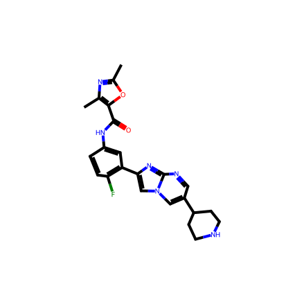 Cc1nc(C)c(C(=O)Nc2ccc(F)c(-c3cn4cc(C5CCNCC5)cnc4n3)c2)o1